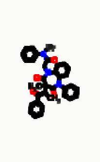 CC(C)N(C(=O)CN1C(=O)C(C)(C(C)C(=O)c2ccccc2)C(=O)N(c2ccccc2)c2ccccc21)c1ccccc1